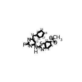 CS(=O)(=O)c1ccc2nc(Nc3cc(Cc4ccccc4)nc(F)n3)sc2c1